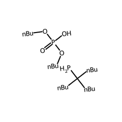 CCCCC(P)(CCCC)CCCC.CCCCOP(=O)(O)OCCCC